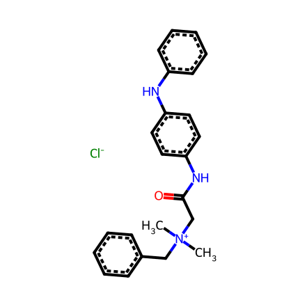 C[N+](C)(CC(=O)Nc1ccc(Nc2ccccc2)cc1)Cc1ccccc1.[Cl-]